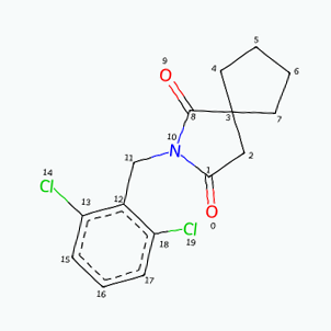 O=C1CC2(CCCC2)C(=O)N1Cc1c(Cl)cccc1Cl